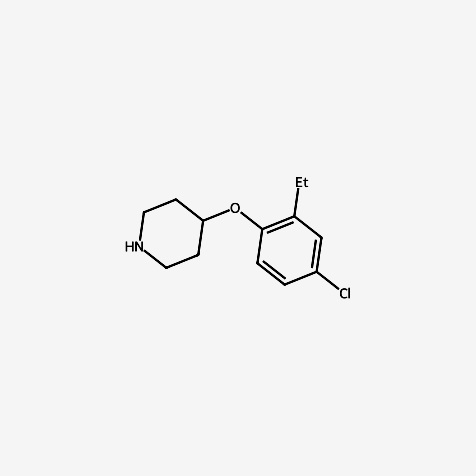 CCc1cc(Cl)ccc1OC1CCNCC1